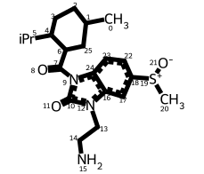 CC1CCC(C(C)C)C(C(=O)n2c(=O)n(CCN)c3cc([S+](C)[O-])ccc32)C1